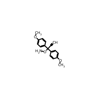 C#CC(ON)(c1ccc(OC)cc1)c1ccc(OC)cc1